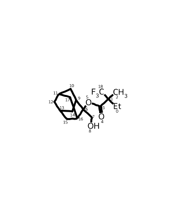 CCC(C)(C(=O)OC1(CO)C2CC3CC(C2)CC1C3)C(F)(F)F